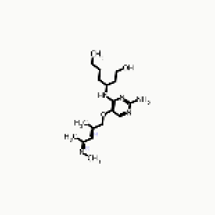 CCCCC(CCO)Nc1nc(N)ncc1OC/C(C)=C/C(C)=N\C